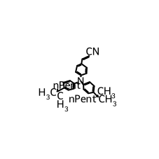 CCCCCC(C)(C)c1ccc(N(c2ccc(C=CC#N)cc2)c2ccc(C(C)(C)CCCCC)cc2)cc1